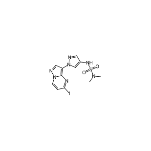 CN(C)S(=O)(=O)Nc1cnn(-c2cnn3ccc(I)nc23)c1